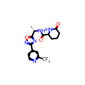 C[C@H](NC(=O)C1CCCC(=O)N1)c1nc(-c2ccnc(C(F)(F)F)c2)no1